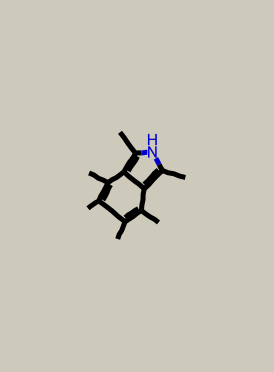 Cc1c(C)c(C)c2c(C)[nH]c(C)c2c1C